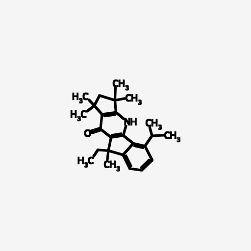 CCC1(C)c2cccc(C(C)C)c2-c2[nH]c3c(c(=O)c21)C(C)(C)CC3(C)C